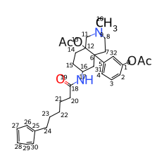 CC(=O)Oc1cccc(C23CCN(C)CC2(OC(C)=O)CCC(NC(=O)CCCCCc2ccccc2)C3)c1